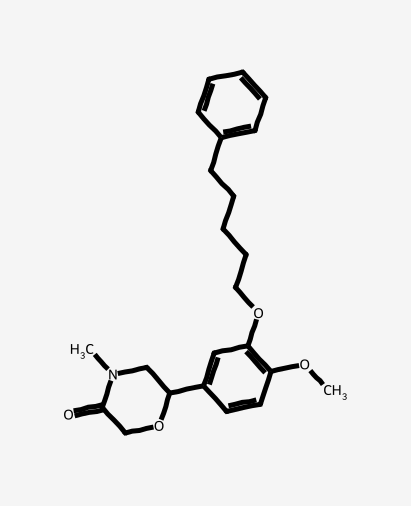 COc1ccc(C2CN(C)C(=O)CO2)cc1OCCCCCc1ccccc1